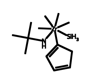 CC(C)(C)[NH][Zr]([CH3])([CH3])([CH3])([CH3])([SiH3])[C]1=CC=CC1